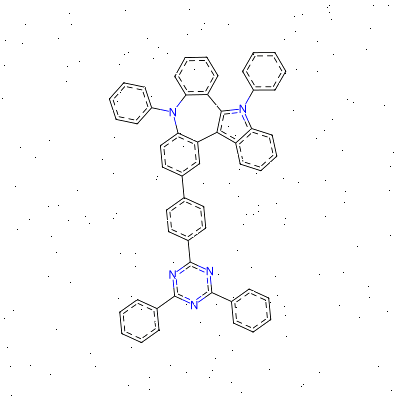 c1ccc(-c2nc(-c3ccccc3)nc(-c3ccc(-c4ccc5c(c4)-c4c(n(-c6ccccc6)c6ccccc46)-c4ccccc4N5c4ccccc4)cc3)n2)cc1